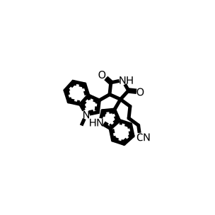 Cn1cc(C2C(=O)NC(=O)C2(CCCC#N)c2c[nH]c3ccccc23)c2ccccc21